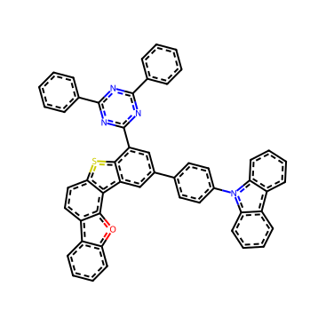 c1ccc(-c2nc(-c3ccccc3)nc(-c3cc(-c4ccc(-n5c6ccccc6c6ccccc65)cc4)cc4c3sc3ccc5c6ccccc6oc5c34)n2)cc1